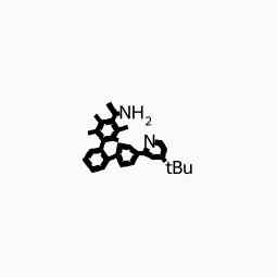 C=C(N)c1c(C)c(C)c(-c2ccccc2-c2ccc(-c3cc(C(C)(C)C)ccn3)cc2)c(C)c1C